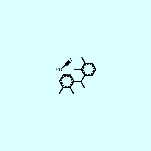 Cc1cccc(C(C)c2cccc(C)c2C)c1C.N#CO